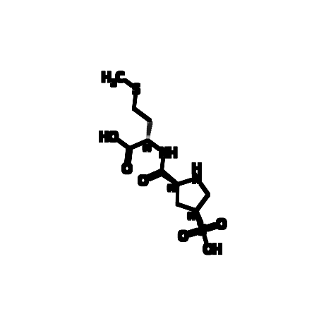 CSCC[C@H](NC(=O)[C@@H]1C[C@H](S(=O)(=O)O)CN1)C(=O)O